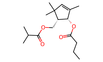 CCCC(=O)O[C@H]1C(C)=CC(C)(C)[C@H]1COC(=O)C(C)C